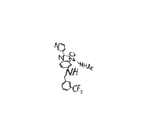 CC(=O)NCCn1c(=O)c(-c2cccnc2)nc2ccc(NCc3cccc(C(F)(F)F)c3)cc21